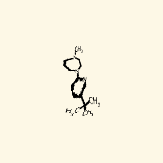 CN1CCCN(c2ccc(C(C)(C)C)cn2)CC1